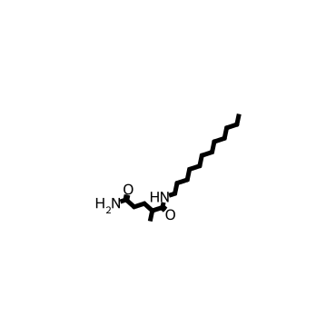 CCCCCCCCCCCCNC(=O)C(C)CCC(N)=O